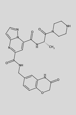 C[C@H](NC(=O)c1cc(C(=O)NCc2ccc3c(c2)NC(=O)CO3)nc2ccnn12)C(=O)N1CCNCC1